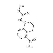 CC(C)(C)OC(=O)N[C@@H]1CCCc2c(C(N)=O)cccc21